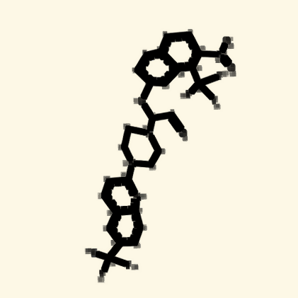 O=CC(Oc1ccc2ccc([N+](=O)[O-])c(C(F)(F)F)c2c1)N1CCN(c2ccc3cc(C(F)(F)F)ccc3n2)CC1